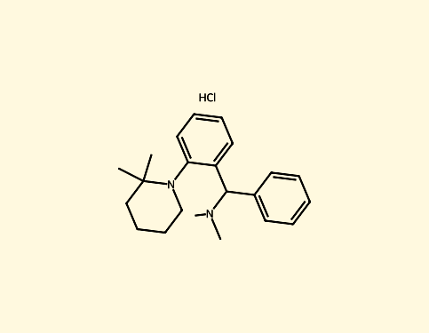 CN(C)C(c1ccccc1)c1ccccc1N1CCCCC1(C)C.Cl